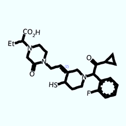 CCC(C(=O)O)N1CCN(C/C=C2/CN(C(C(=O)C3CC3)c3ccccc3F)CCC2S)C(=O)C1